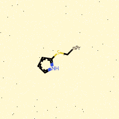 CCCCSc1ccc[nH]1